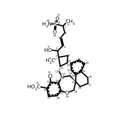 CC(C/C=C/C(O)[C@@]1(C)CC[C@@H]1CN1C[C@@]2(CCCc3ccccc32)COc2ccc(C(=O)O)c(Cl)c21)S(N)(=O)=O